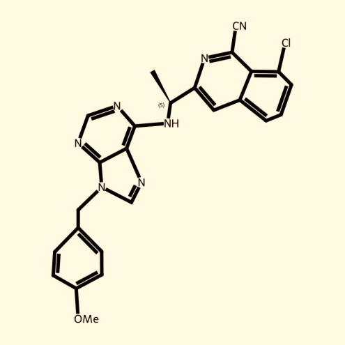 COc1ccc(Cn2cnc3c(N[C@@H](C)c4cc5cccc(Cl)c5c(C#N)n4)ncnc32)cc1